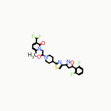 Cc1ccc(C(F)F)c(=O)n1CC(=O)N1CCC(c2nc(C3=NOC(c4c(F)cccc4F)C3)cs2)CC1